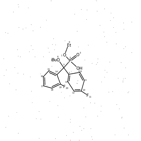 CCOP(=O)(O)C(OCC(C)C)(c1ccc(F)cc1)c1ccccc1F